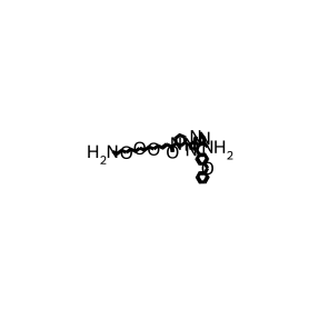 NCCOCCOCCOC/C=C/C(=O)N1CCC[C@@H](n2nc(-c3ccc(Oc4ccccc4)cc3)c3c(N)ncnc32)C1